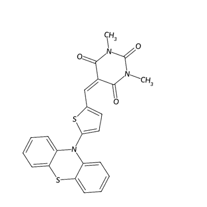 CN1C(=O)C(=Cc2ccc(N3c4ccccc4Sc4ccccc43)s2)C(=O)N(C)C1=O